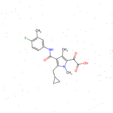 Cc1cc(NC(=O)c2c(C)c(C(=O)C(=O)O)n(C)c2CC2CC2)ccc1F